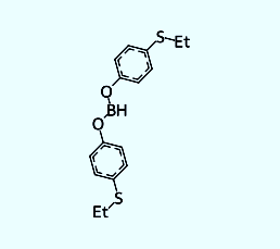 CCSc1ccc(OBOc2ccc(SCC)cc2)cc1